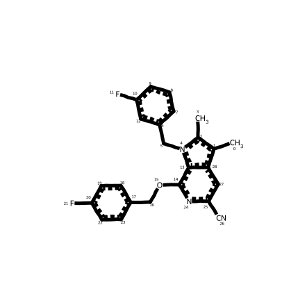 Cc1c(C)n(Cc2cccc(F)c2)c2c(OCc3ccc(F)cc3)nc(C#N)cc12